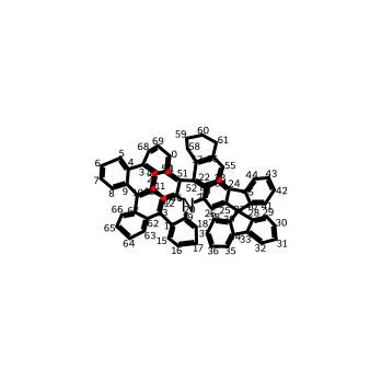 c1ccc(-c2ccccc2-c2ccc(-c3ccccc3N(c3ccc4c(c3)C3(c5ccccc5-c5ccccc53)c3ccccc3-4)c3ccccc3-c3cccc4c3CCCC4)c3ccccc23)cc1